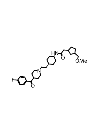 COCC1CCC(CC(=O)N[C@H]2CC[C@H](CCN3CCC(C(=O)c4ccc(F)cc4)CC3)CC2)C1